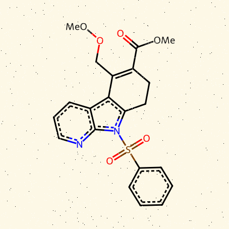 COOCC1=C(C(=O)OC)CCc2c1c1cccnc1n2S(=O)(=O)c1ccccc1